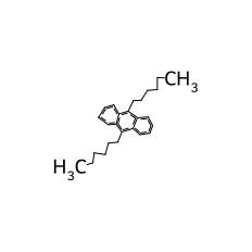 CCCCCCc1c2ccccc2c(CCCCCC)c2ccccc12